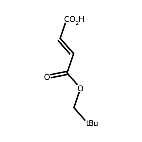 CC(C)(C)COC(=O)C=CC(=O)O